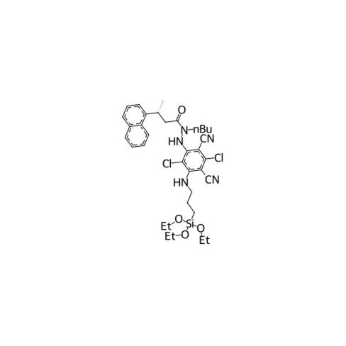 CCCCN(Nc1c(Cl)c(NCCC[Si](OCC)(OCC)OCC)c(C#N)c(Cl)c1C#N)C(=O)C[C@@H](C)c1cccc2ccccc12